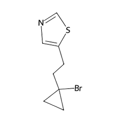 BrC1(CCc2cncs2)CC1